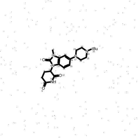 Cn1c(=O)n(C2CCC(=O)NC2=O)c2ccc(N3CCN(C(C)(C)C)CC3)cc21